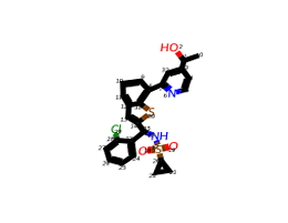 CC(O)c1ccnc(-c2cccc3cc(C(NS(=O)(=O)C4CC4)c4ccccc4Cl)sc23)c1